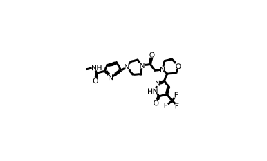 CNC(=O)c1ccc(N2CCN(C(=O)CN3CCOCC3c3cc(C(F)(F)F)c(=O)[nH]n3)CC2)cn1